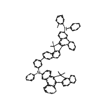 Cc1ccccc1N(c1ccccc1)c1ccc2c3c(c4ccccc4c2c1)-c1ccc2cc(-c4cccc(N(c5ccccc5)c5ccc6c7c(c8ccccc8c6c5)-c5ccc6ccccc6c5C7(C)C)c4)ccc2c1C3(C)C